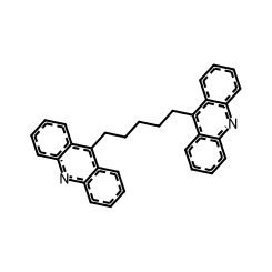 c1ccc2c(CCCCCc3c4ccccc4nc4ccccc34)c3ccccc3nc2c1